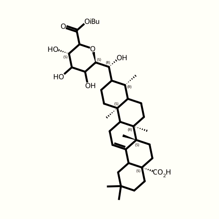 CC(C)COC(=O)C1O[C@@H]([C@H](O)C2CC[C@@]3(C)C(CC[C@]4(C)C3CC=C3C5CC(C)(C)CC[C@]5(C(=O)O)CC[C@]34C)[C@H]2C)C(O)C(O)[C@@H]1O